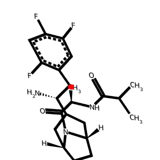 CC(C)C(=O)N[C@H](C)C(=O)N1[C@@H]2CC[C@H]1CC([C@H](N)Cc1cc(F)c(F)cc1F)C2